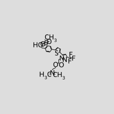 CCS(=O)(=O)c1cc(-c2ccc(-c3cc(C(F)(F)F)nn3CC(=O)OCCN(C)C)s2)ccc1CO